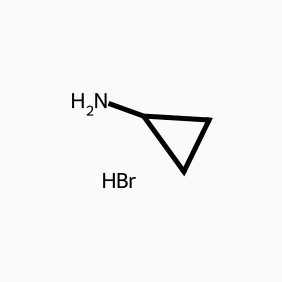 Br.NC1CC1